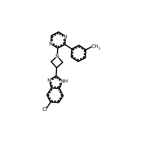 Cc1cccc(-c2nccnc2N2CC(c3nc4cc(Cl)ccc4[nH]3)C2)c1